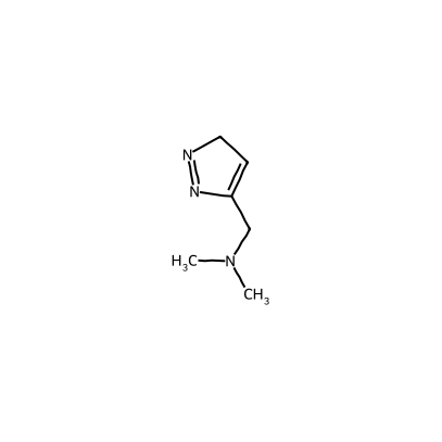 CN(C)CC1=CCN=N1